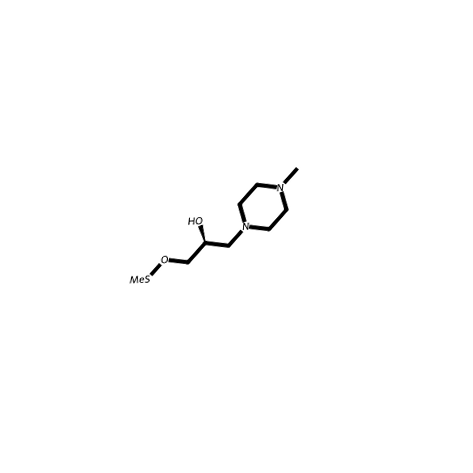 CSOC[C@@H](O)CN1CCN(C)CC1